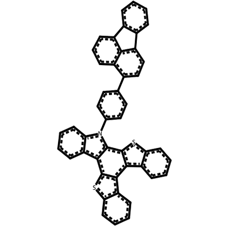 c1ccc2c(c1)-c1cccc3c(-c4ccc(-n5c6ccccc6c6c7sc8ccccc8c7c7c8ccccc8sc7c65)cc4)ccc-2c13